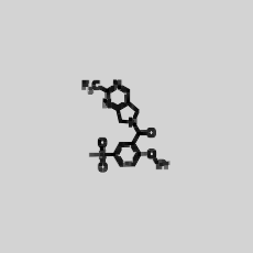 CC(C)Oc1ccc(S(C)(=O)=O)cc1C(=O)N1Cc2cnc(C(F)(F)F)nc2C1